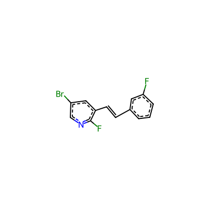 Fc1cccc(C=Cc2cc(Br)cnc2F)c1